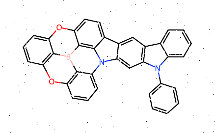 c1ccc(-n2c3ccccc3c3cc4c5ccc6c7c5n(c4cc32)-c2cccc3c2B7c2c(cccc2O6)O3)cc1